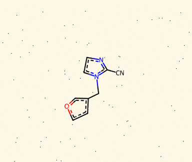 N#Cc1nccn1Cc1ccoc1